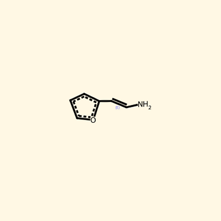 N/C=C/c1ccco1